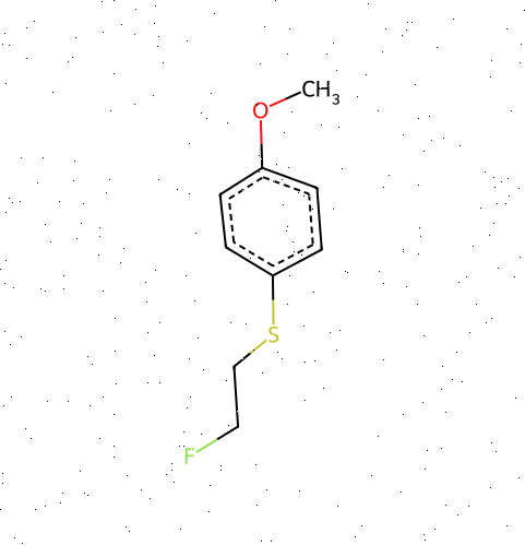 COc1ccc(SCCF)cc1